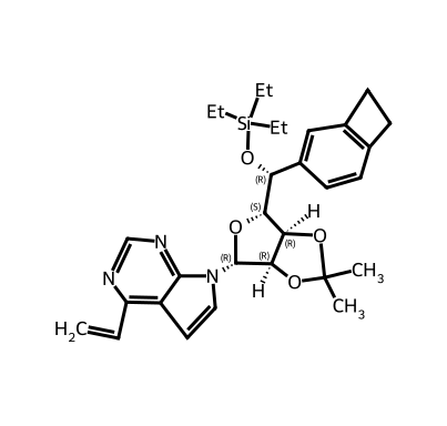 C=Cc1ncnc2c1ccn2[C@@H]1O[C@H]([C@H](O[Si](CC)(CC)CC)c2ccc3c(c2)CC3)[C@H]2OC(C)(C)O[C@H]21